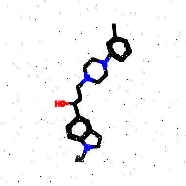 CC(=O)N1CCc2cc(C(O)CCN3CCN(c4cccc(C)c4)CC3)ccc21